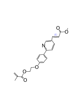 C=C(C)C(=O)OCCOc1ccc(-c2ccc(/C=C/C(=O)OC)cn2)cc1